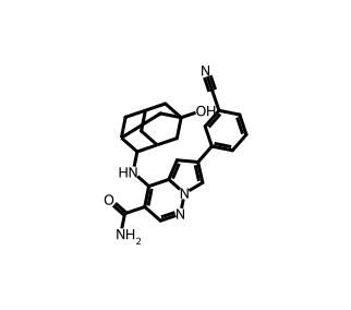 N#Cc1cccc(-c2cc3c(NC4C5CC6CC4CC(O)(C6)C5)c(C(N)=O)cnn3c2)c1